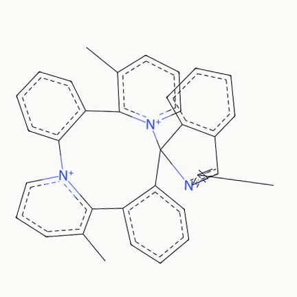 Cc1ccc[n+]2c1-c1ccccc1C1(c3ccccc3-c3c(C)ccc[n+]31)[n+]1cccc(C)c1-c1ccccc1-2